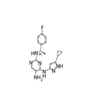 C[C@@H](Nc1ncc(N)c(Nc2cc(C3CC3)[nH]n2)n1)c1ccc(F)cc1